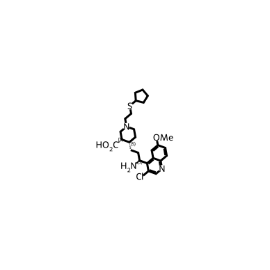 COc1ccc2ncc(Cl)c([C@@H](N)CC[C@H]3CCN(CCSC4CCCC4)C[C@H]3C(=O)O)c2c1